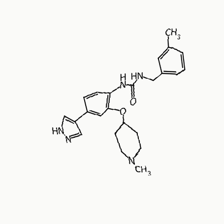 Cc1cccc(CNC(=O)Nc2ccc(-c3cn[nH]c3)cc2OC2CCN(C)CC2)c1